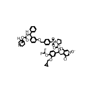 O=C(N[C@@H](c1ccccc1)c1cccc(OCc2ccc(S(=O)(=O)N3CCC[C@H]3C(=O)O[C@@H](Cc3c(Cl)c[n+]([O-])cc3Cl)c3ccc(OC(F)F)c(OCC4CC4)c3)cc2)c1)O[C@H]1CN2CCC1CC2